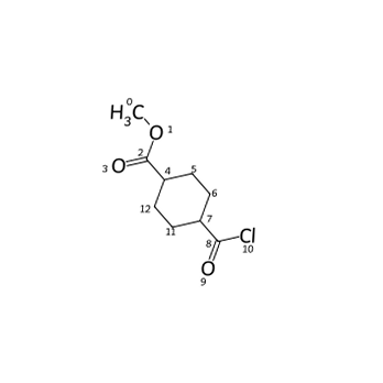 COC(=O)C1CCC(C(=O)Cl)CC1